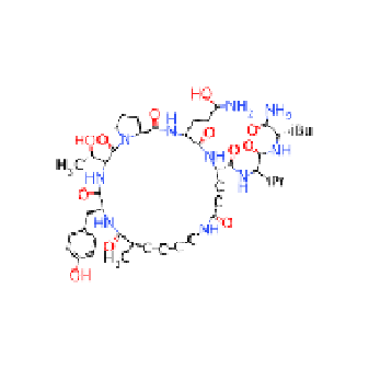 CCC(C)[C@H](NC(=O)C(NC(=O)[C@@H]1CCC(=O)NCCCCC(C)C(=O)N[C@@H](Cc2ccc(O)cc2)C(=O)NC([C@H](C)O)C(=O)N2CCCC2C(=O)NC(CCC(N)O)C(=O)N1)C(C)C)C(N)=O